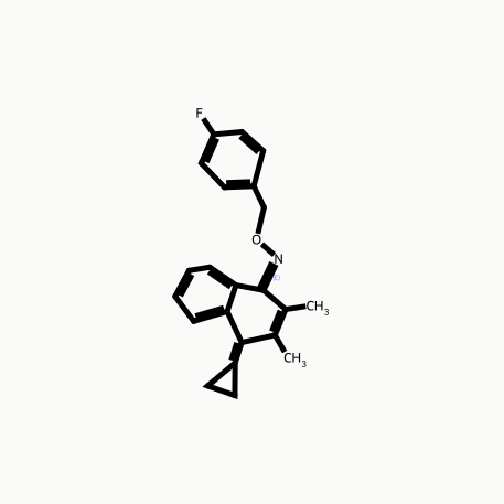 CC1=C(C)/C(=N/OCc2ccc(F)cc2)c2ccccc2C1=C1CC1